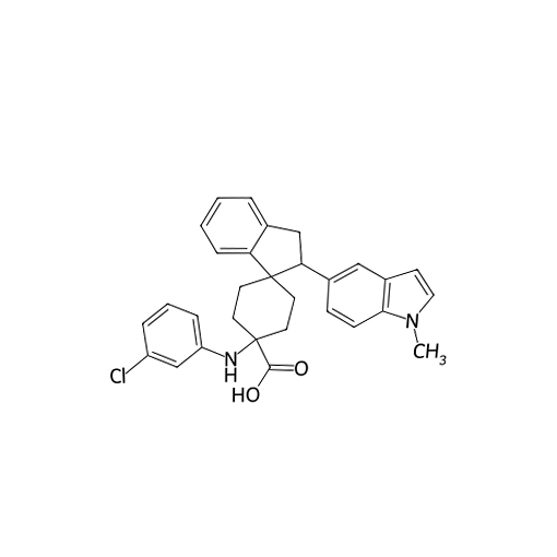 Cn1ccc2cc(C3Cc4ccccc4C34CCC(Nc3cccc(Cl)c3)(C(=O)O)CC4)ccc21